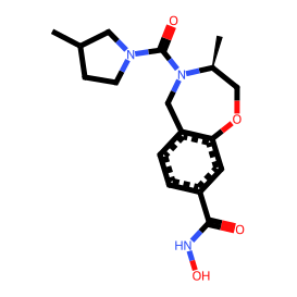 CC1CCN(C(=O)N2Cc3ccc(C(=O)NO)cc3OC[C@@H]2C)C1